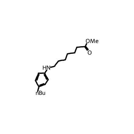 CCCCc1ccc(NCCCCCCC(=O)OC)cc1